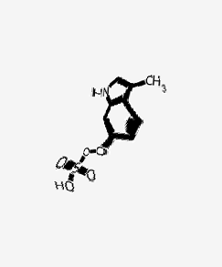 Cc1c[nH]c2cc(OOS(=O)(=O)O)ccc12